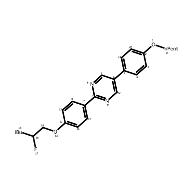 CCCCCOc1ccc(-c2cnc(-c3ccc(OCC(F)C(C)CC)cc3)nc2)cc1